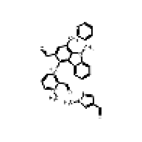 C[n+]1ccccc1C=O.Cc1c(C=O)cc(C)c2c1c1ccccc1n2C.Cn1cc(C=O)cn1.c1ccncc1